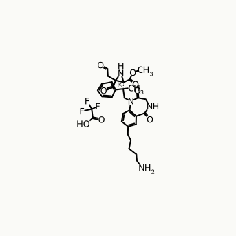 COC(=O)[C@]1(C(C)(CN2C(=O)CNC(=O)c3cc(CCCCCN)ccc32)c2ccccc2)NC1(C=O)CC=O.O=C(O)C(F)(F)F